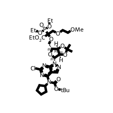 CCOC(=O)C(COCCOC)(OC[C@H]1O[C@@H](n2ncc3c(N(C(=O)OC(C)(C)C)C4CCCC4)nc(Cl)nc32)[C@@H]2OC(C)(C)O[C@@H]21)P(=O)(OCC)OCC